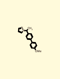 COc1ccc(-c2ccc(C(C)n3cccn3)cc2)cc1